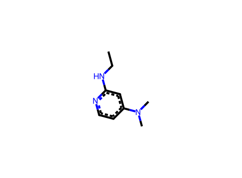 CCNc1cc(N(C)C)ccn1